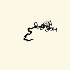 CC/C=C\C/C=C\C/C=C\C/C=C\C/C=C\CCCC(=O)OCC(C)(C)[C@@H](O)C(=O)NCCC(=O)O